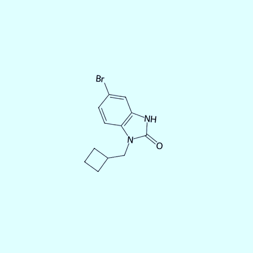 O=c1[nH]c2cc(Br)ccc2n1CC1CCC1